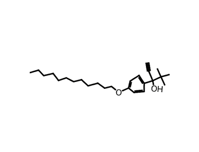 C#CC(O)(c1ccc(OCCCCCCCCCCCC)cc1)C(C)(C)C